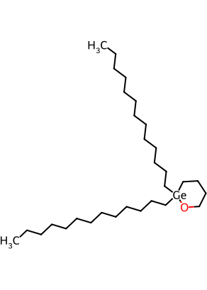 CCCCCCCCCCCC[CH2][Ge]1([CH2]CCCCCCCCCCCC)[CH2]CCC[O]1